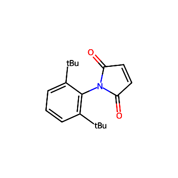 CC(C)(C)c1cccc(C(C)(C)C)c1N1C(=O)C=CC1=O